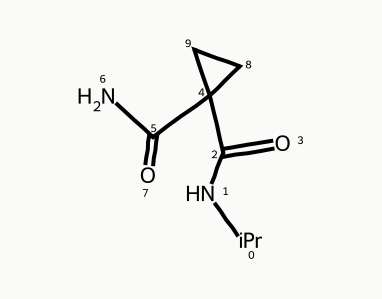 CC(C)NC(=O)C1(C(N)=O)CC1